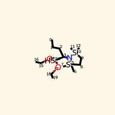 CCCC(N1[Si](C)(C)CC[Si]1(C)C)[SiH](OCC)OCC